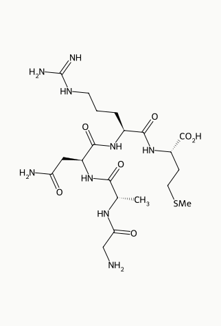 CSCC[C@H](NC(=O)[C@H](CCCNC(=N)N)NC(=O)[C@H](CC(N)=O)NC(=O)[C@H](C)NC(=O)CN)C(=O)O